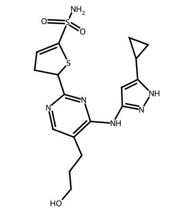 NS(=O)(=O)C1=CCC(c2ncc(CCCO)c(Nc3cc(C4CC4)[nH]n3)n2)S1